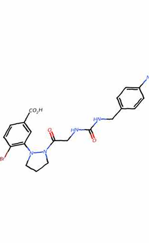 Nc1ccc(CNC(=O)NCC(=O)N2CCCN2c2cc(C(=O)O)ccc2Br)cc1